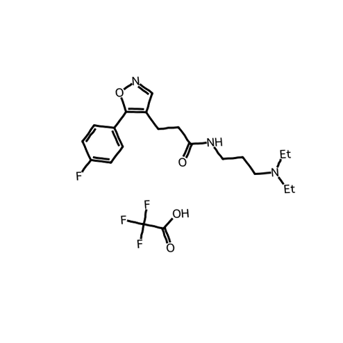 CCN(CC)CCCNC(=O)CCc1cnoc1-c1ccc(F)cc1.O=C(O)C(F)(F)F